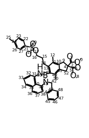 COC(=O)C1(C(=O)OC)Cc2c(C)c(CCCOS(=O)(=O)c3ccc(C)cc3)c(B3Nc4cccc5cccc(c45)N3Cc3ccccc3)c(C)c2C1